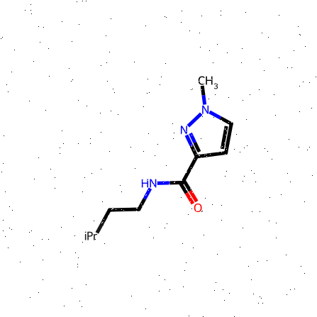 CC(C)CCNC(=O)c1ccn(C)n1